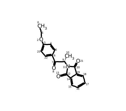 CCOc1ccc(C(=O)[C@H](C)N2C(=O)c3ccccc3C2=O)cc1